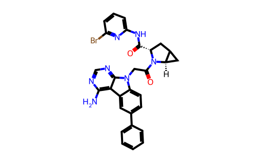 Nc1ncnc2c1c1cc(-c3ccccc3)ccc1n2CC(=O)N1[C@@H]2CC2C[C@H]1C(=O)Nc1cccc(Br)n1